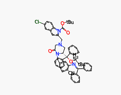 CC(C)(C)OC(=O)n1c(CN2CC(=O)N(Cc3ccc(C#N)c(N=C(c4ccccc4)c4ccccc4)c3)[C@@H](C(O[SiH2]C(C)(C)C)(c3ccccc3)c3ccccc3)C2)cc2cc(Cl)ccc21